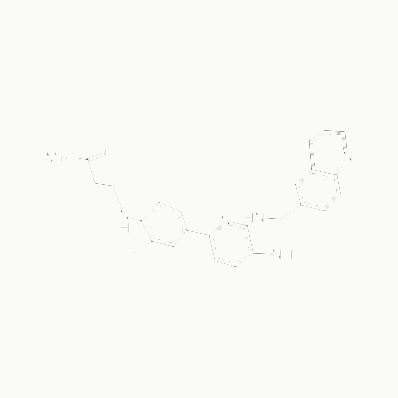 COC(=O)CCNc1ccc(-c2ccc(N)c(NCc3ccc4ncccc4c3)n2)cc1F